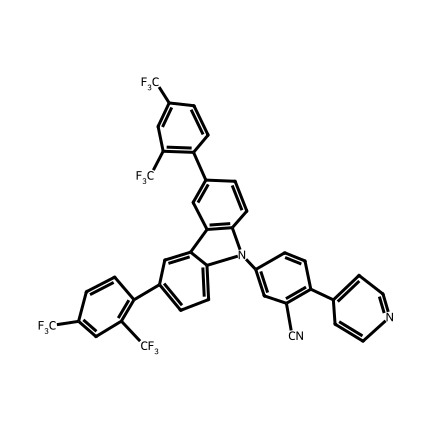 N#Cc1cc(-n2c3ccc(-c4ccc(C(F)(F)F)cc4C(F)(F)F)cc3c3cc(-c4ccc(C(F)(F)F)cc4C(F)(F)F)ccc32)ccc1-c1ccncc1